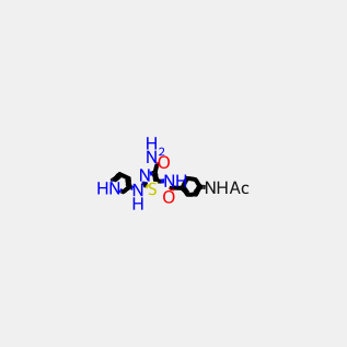 CC(=O)NC1=CC=C(C(=O)Nc2sc(NC3=CC=CNC3)nc2C(N)=O)CC1